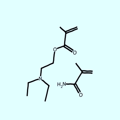 C=C(C)C(=O)OCCN(CC)CC.C=C(C)C(N)=O